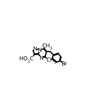 Cc1nc2c(C(=O)O)cnn2c(C)c1Cc1ccc(Br)cc1